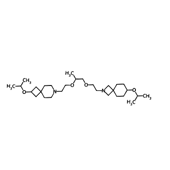 CC(C)OC1CCC2(CC1)CN(CCOCC(C)OCCN1CCC3(CC1)CC(OC(C)C)C3)C2